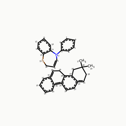 C1=CN(c2ccccc2)c2ccccc2SC1.CC1(C)CC=c2ccc3c(c2C1)CC=c1ccccc1=3